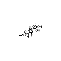 CCCOC(=O)Nc1nc(=O)n([C@@H]2O[C@H](C)C(O)C2O)cc1F